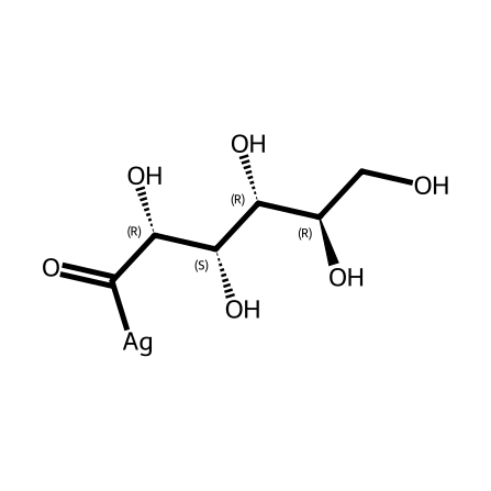 O=[C]([Ag])[C@H](O)[C@@H](O)[C@H](O)[C@H](O)CO